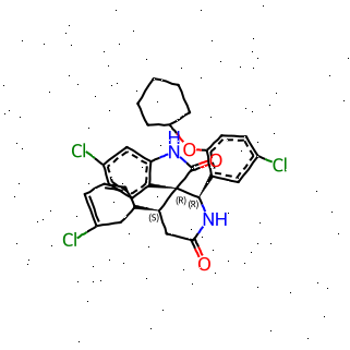 O=C1C[C@@H](C2C=CC=C(Cl)C2)[C@]2(C(=O)Nc3cc(Cl)ccc32)[C@@H](c2cc(Cl)ccc2OC2CCCCC2)N1